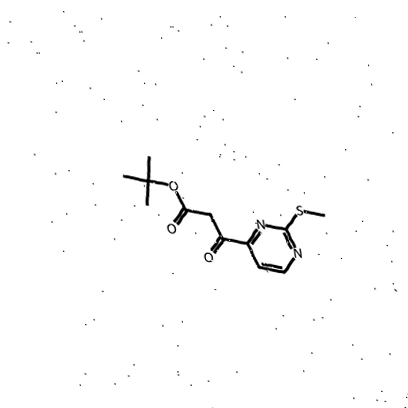 CSc1nccc(C(=O)CC(=O)OC(C)(C)C)n1